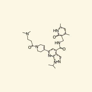 Cc1cc(C)c(CNC(=O)c2cc(C3=CCN(C(=O)CCN(C)C)CC3)nc3c2cnn3C(C)C)c(=O)[nH]1